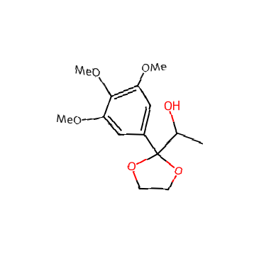 COc1cc(C2(C(C)O)OCCO2)cc(OC)c1OC